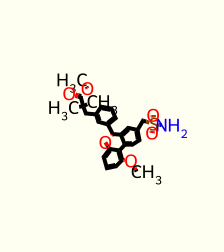 COC(=O)C(C)(C)Cc1cccc(C2Oc3cccc(OC)c3-c3ccc(CS(N)(=O)=O)cc32)c1